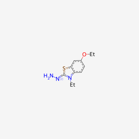 CCOc1ccc2c(c1)s/c(=N\N)n2CC